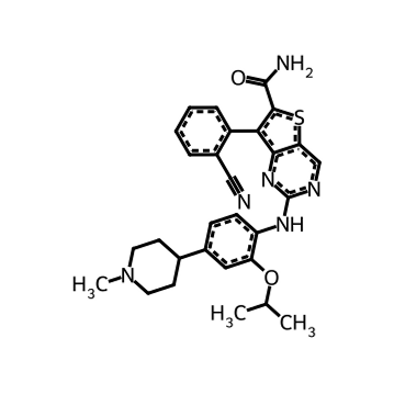 CC(C)Oc1cc(C2CCN(C)CC2)ccc1Nc1ncc2sc(C(N)=O)c(-c3ccccc3C#N)c2n1